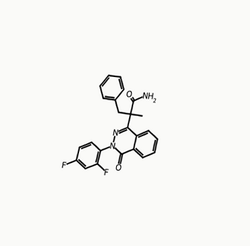 CC(Cc1ccccc1)(C(N)=O)c1nn(-c2ccc(F)cc2F)c(=O)c2ccccc12